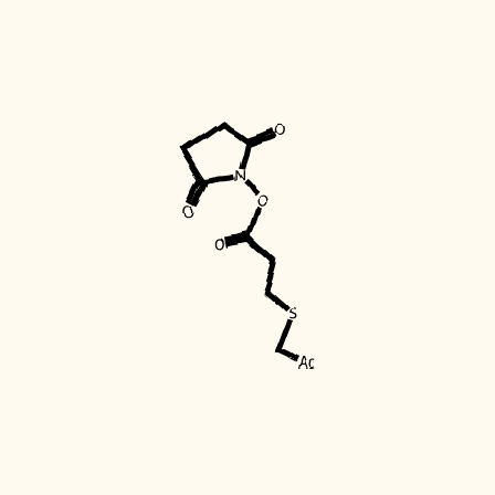 CC(=O)CSCCC(=O)ON1C(=O)CCC1=O